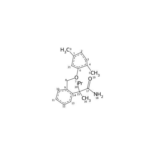 Cc1ccc(C)c(OCc2ccccc2C(C)(C(N)=O)C(C)C)c1